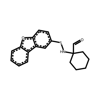 O=CC1(NSc2ccc3oc4ccccc4c3c2)CCCCC1